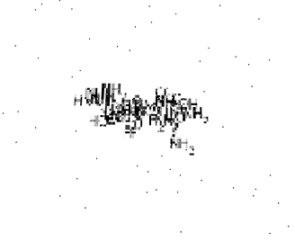 C[C@H](NC(=O)[C@@H](NC(=O)[C@@H](N)CCCCN)[C@@H](O)CN)C(=O)NCC(=O)/N=C(\CCCN)C(=O)N1CCC[C@H]1C(=O)N[C@@H](Cc1ccccc1C(F)(F)F)C(=O)N[C@@H](CCCCN)C(=O)N/C(=C\CCNC(=N)N)C(=O)O